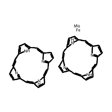 C1=Cc2cc3ccc(cc4nc(cc5ccc(cc1n2)[nH]5)C=C4)[nH]3.C1=Cc2cc3ccc(cc4nc(cc5ccc(cc1n2)[nH]5)C=C4)[nH]3.[Fe].[Mo]